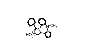 CN1c2ccccc2N(C(=O)c2ccccc2)C(CC(=O)O)c2cccn21